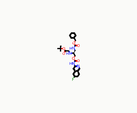 CC(C)(C)OC(=O)CN[C@@H](CNC(=O)OCc1ccccc1)COC(=O)Nc1cc2cc(F)ccc2cn1